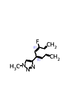 C=C/C=C(\C=C(\F)C=C)c1cn(C)nn1